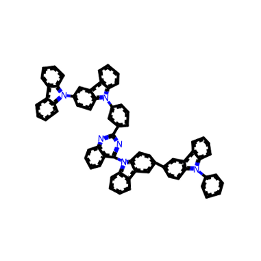 c1ccc(-n2c3ccccc3c3cc(-c4ccc5c(c4)c4ccccc4n5-c4nc(-c5cccc(-n6c7ccccc7c7cc(-n8c9ccccc9c9ccccc98)ccc76)c5)nc5ccccc45)ccc32)cc1